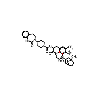 CCOC(=O)N1C2CCC1(C)CC(N1CCN(C(=O)C(Cc3cc(Cl)c(N)c(C(F)(F)F)c3)OC(=O)N3CCC(N4CCc5ccccc5NC4=O)CC3)CC1)C2